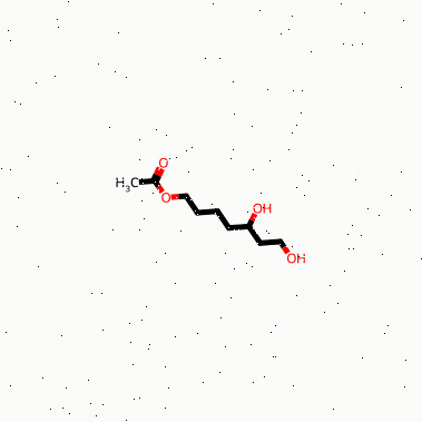 CC(=O)OCCCCC(O)CCO